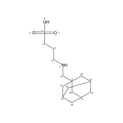 O=S(=O)(O)CCCNCC12CC3CC(CC(C3)C1)C2